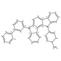 CC1C=CC(n2c3ccccc3c3ccc4c(c5ccccc5n4-c4cccc(-c5ccccc5)c4)c32)=CC1